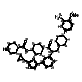 COc1ccc([C@H]2CC[C@H](CN(c3cc(-c4coc(C5CC5)n4)ccn3)C(=O)[C@H]3CC[C@H](OC(=O)N4CCNCC4)CC3)CC2)nc1C